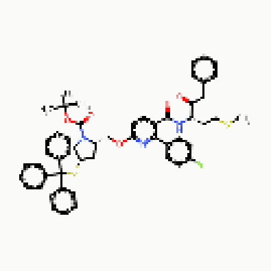 CSCC[C@H](NC(=O)c1ccc(OC[C@@H]2C[C@H](SC(c3ccccc3)(c3ccccc3)c3ccccc3)CN2C(=O)OC(C)(C)C)nc1-c1ccc(F)cc1)C(=O)Cc1ccccc1